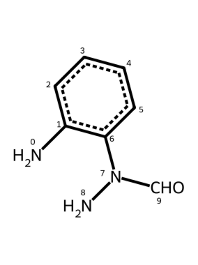 Nc1ccccc1N(N)C=O